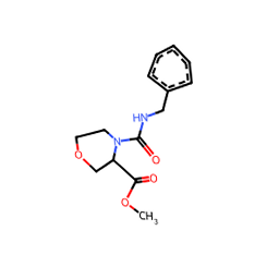 COC(=O)C1COCCN1C(=O)NCc1ccccc1